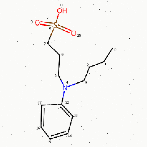 CCCCN(CCCS(=O)(=O)O)c1ccccc1